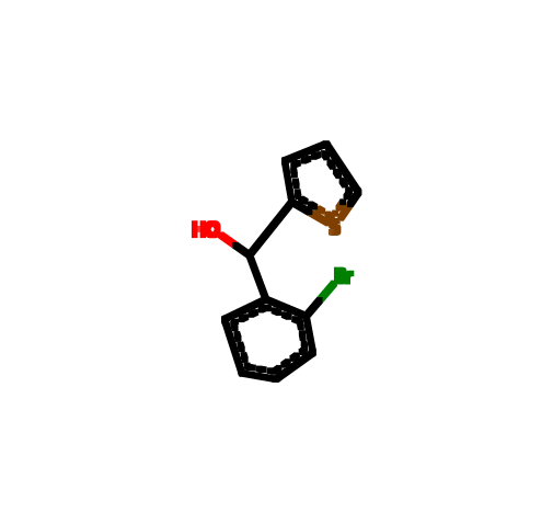 OC(c1cccs1)c1ccccc1Br